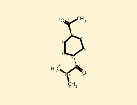 CC(=O)[C@H]1CC[C@H](C(=O)N(C)C)CC1